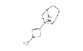 CN1CC(N2CC3CCC(C2)N3C)C1